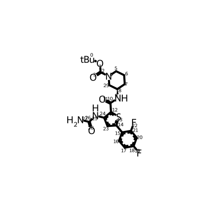 CC(C)(C)OC(=O)N1CCC[C@@H](NC(=O)c2sc(-c3ccc(F)cc3F)cc2NC(N)=O)C1